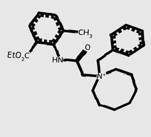 CCOC(=O)c1cccc(C)c1NC(=O)C[N+]1(Cc2ccccc2)CCCCCCC1